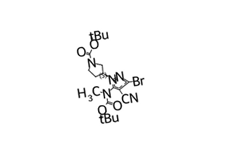 CN(C(=O)OC(C)(C)C)c1c(C#N)c(Br)nn1[C@H]1CCN(C(=O)OC(C)(C)C)C1